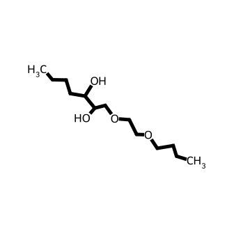 CCCCOCCOCC(O)C(O)CCCC